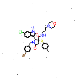 Cc1ccc(S[C@]2(C(=O)NCCCN3CCOCC3)CC(=O)N(Cc3ccc(Br)cc3)[C@H]2c2c[nH]c3cc(Cl)ccc23)cc1